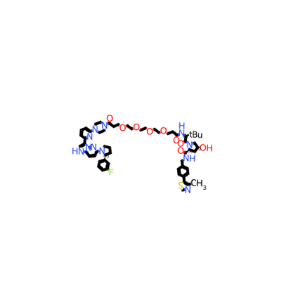 Cc1ncsc1-c1ccc(CNC(=O)[C@@H]2C[C@@H](O)CN2C(=O)[C@@H](NC(=O)CCOCCOCCOCCOCCC(=O)N2CCN(c3cccc(C4=CNC5C=CC(N6CCC[C@@H]6c6cccc(F)c6)=NN45)n3)CC2)C(C)(C)C)cc1